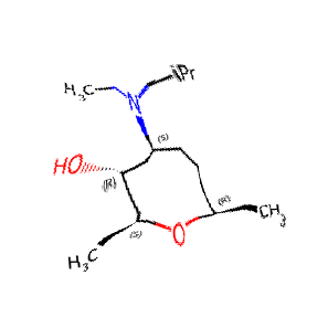 CC(C)N(C)[C@H]1C[C@@H](C)O[C@@H](C)[C@@H]1O